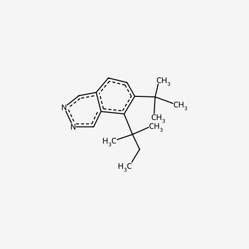 CCC(C)(C)c1c(C(C)(C)C)ccc2cnncc12